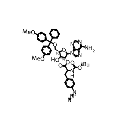 COc1ccc(C(OC[C@H]2O[C@@H](n3cnc4c(N)ncnc43)[C@H](OC(=O)C(Cc3ccc(N=[N+]=[N-])cc3)NC(=O)OC(C)(C)C)[C@@H]2O)(c2ccccc2)c2ccc(OC)cc2)cc1